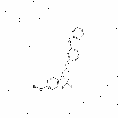 CCOc1ccc(C2(CCCc3cccc(Oc4ccccc4)c3)CC2(F)F)cc1